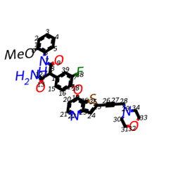 COc1ccccc1NC(=O)C(C(N)=O)c1ccc(Oc2ccnc3cc(C#CCN4CCOCC4)sc23)c(F)c1